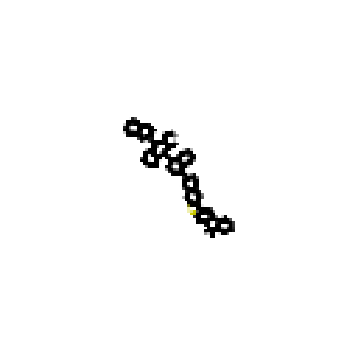 CC1(C)c2ccccc2-c2cc3c(cc21)sc1cc2cc(-c4ccc(-c5c6ccccc6c(-c6ccc7ccccc7c6)c6ccccc56)c5ccccc45)ccc2cc13